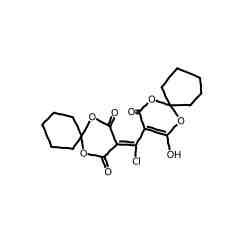 O=C1OC2(CCCCC2)OC(O)=C1C(Cl)=C1C(=O)OC2(CCCCC2)OC1=O